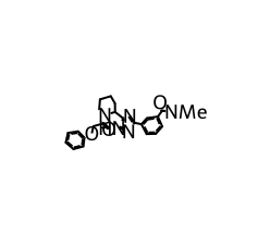 CNC(=O)c1cccc(-c2n[nH]c(C3CCCCN3C(=O)COc3ccccc3)n2)c1